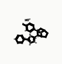 Cc1ccc([C@H]2CC3CCC([C@H]2c2nnc(-c4ccccc4)o2)N3C)cc1.Cl